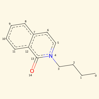 CCCCn1ccc2ccccc2c1=O